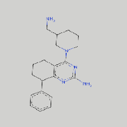 NCC1CCCN(c2nc(N)nc3c2CCCC3c2ccccc2)C1